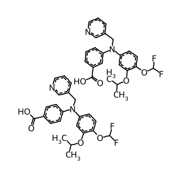 CC(C)Oc1cc(N(Cc2cccnc2)c2ccc(C(=O)O)cc2)ccc1OC(F)F.CC(C)Oc1cc(N(Cc2cccnc2)c2cccc(C(=O)O)c2)ccc1OC(F)F